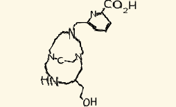 O=C(O)c1cccc(CN2CCCN3CCNCC(CCO)CN(CC3)CC2)n1